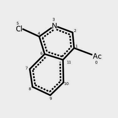 CC(=O)c1cnc(Cl)c2ccccc12